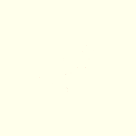 CCC(C)(C)c1ccc(Oc2ccc(C(F)(F)F)cc2N)c(S)c1